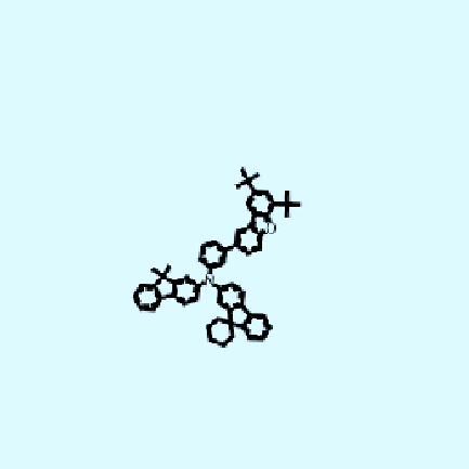 CC(C)(C)c1cc(C(C)(C)C)c2oc3ccc(-c4cccc(N(c5ccc6c(c5)C(C)(C)c5ccccc5-6)c5ccc6c(c5)C5(CCCCC5)c5ccccc5-6)c4)cc3c2c1